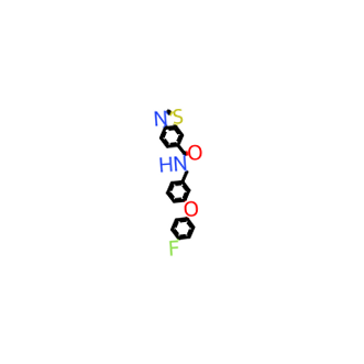 O=C(NCc1cccc(Oc2ccc(F)cc2)c1)c1ccc2ncsc2c1